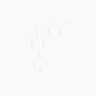 COc1ccc2c(c1)CCc1cnc(-c3ccncc3)nc1-2.Cl